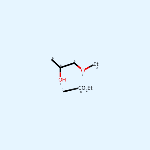 CCOC(C)=O.CCOCC(C)O